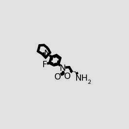 NC[C@H]1CN(c2ccc(N3C4CCCC3CC4)c(F)c2)C(=O)O1